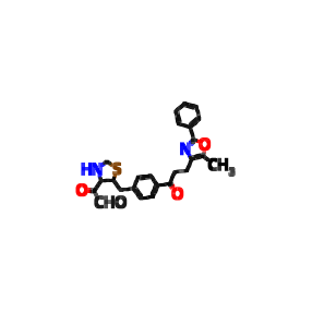 Cc1oc(-c2ccccc2)nc1CCC(=O)c1ccc(CC2SCNC2C(=O)C=O)cc1